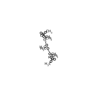 Cc1ccc(N(c2ccc3c(c2)C(C)(C)C2=CC(/C=C/c4ccc5c(c4)C(C)(C)c4cc(/C=C/c6ccc7c(c6)C(C)(C)c6cc(N(c8ccc(C)cc8)c8ccccc8C)ccc6-7)ccc4-5)CC=C23)c2ccccc2C)cc1